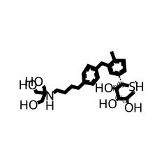 Cc1ccc([C@H]2[C@H](O)[C@H](O)[C@H](O)C[SH]2C)cc1Cc1ccc(CCCCNC(CO)(CO)CO)cc1